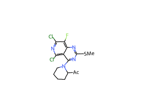 CSc1nc(N2CCCCC2C(C)=O)c2c(Cl)nc(Cl)c(F)c2n1